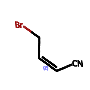 N#C/C=C\CBr